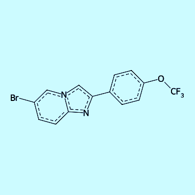 FC(F)(F)Oc1ccc(-c2cn3cc(Br)ccc3n2)cc1